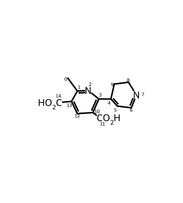 Cc1nc(C2=CC=NCC2)c(C(=O)O)cc1C(=O)O